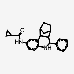 O=C(Nc1ccc2c(c1)C1C3CCC(C3)C1C(c1ccccc1)N2)C1CC1